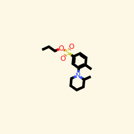 CCCOS(=O)(=O)c1ccc(C)c(N2CCCCC2C)c1